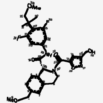 COCc1ccc2c(c1)CCN(C(=O)c1cc(O)no1)[C@H]2C(=O)Nc1cc(F)c(C(C)(C)COC)c(F)c1